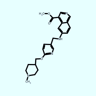 COC(=O)c1cncc2ccc(NCc3ccc(OCC4CCN(C)CC4)nc3)cc12